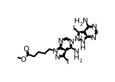 COC(=O)CCCCn1nc(I)c2c(N)[n+](-[n+]3[nH]c4ncnc(N)c4c3I)cnc21